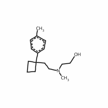 Cc1ccc(C2(CCN(C)CCO)CCC2)cc1